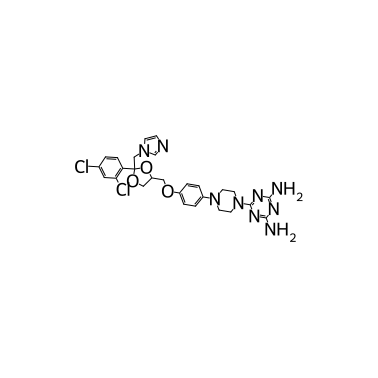 Nc1nc(N)nc(N2CCN(c3ccc(OCC4COC(Cn5ccnc5)(c5ccc(Cl)cc5Cl)O4)cc3)CC2)n1